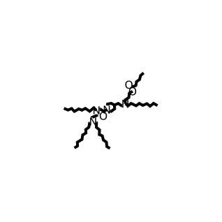 CCCCCCCCCN(CCCOC(=O)CCCCC)CCC1CCN(C(=O)CN(CCCCCCCCC)CCN(CCCCCCCCC)CCCCCCCCC)CC1